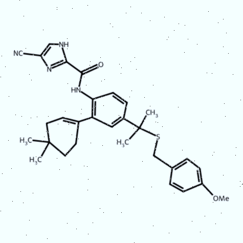 COc1ccc(CSC(C)(C)c2ccc(NC(=O)c3nc(C#N)c[nH]3)c(C3=CCC(C)(C)CC3)c2)cc1